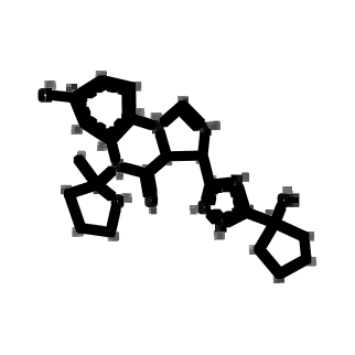 CC1(N2C(=O)C3C(c4nc(C5(O)CCCC5)no4)N=CN3c3ccc(Cl)cc32)CCCO1